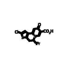 CC(C)C1Cc2sc(Cl)cc2-c2cc(=O)c(C(=O)O)cn21